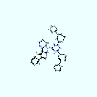 c1ccc(-c2cccc(-c3nc(-c4cccc(-c5ccccc5)c4)nc(-n4c5cccnc5c5c6sc7ccccc7c6ccc54)n3)c2)cc1